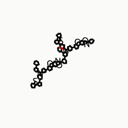 c1ccc(-c2cccc(N(c3ccc(-c4ccc5c(c4)oc4cc6nc(-c7cccc(-c8ccc(N(c9ccc(-c%10ccc%11c(c%10)oc%10cc%12oc(-c%13ccccc%13)nc%12cc%10%11)cc9)c9ccc(-c%10cccc%11c%10sc%10ccccc%10%11)cc9)c(-c9ccccc9)c8)c7)oc6cc45)cc3)c3ccc(-c4cccc5c4sc4ccccc45)cc3)c2)cc1